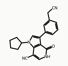 N#CCc1cccc(-c2cn(C3CCCC3)c3c(C#N)c[nH]c(=O)c23)c1